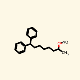 CC(CCCCCC(c1ccccc1)c1ccccc1)ON=O